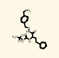 CC(C)(C)OC(=O)NC(CCc1ccccc1)C(=O)NOCc1ccc(CN)cc1